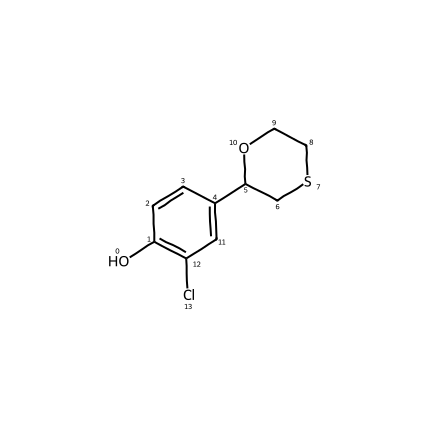 Oc1ccc(C2CSCCO2)cc1Cl